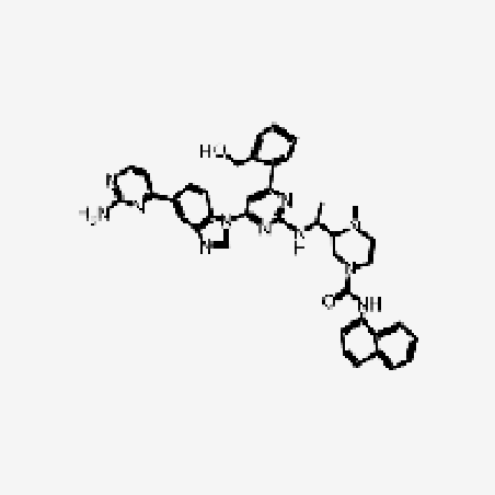 CC(Nc1nc(-c2ccccc2CO)cc(-n2cnc3cc(-c4ccnc(N)n4)ccc32)n1)C1CN(C(=O)Nc2cccc3ccccc23)CCN1C